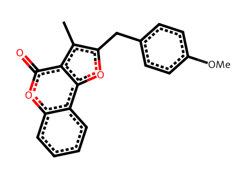 COc1ccc(Cc2oc3c(c2C)c(=O)oc2ccccc23)cc1